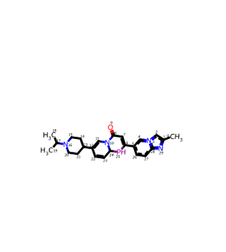 Cc1cn2cc(C3=CC(=O)N4C=C(C5CCN(C(C)C)CC5)C=CC4P3)ccc2n1